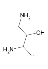 [CH2]C(N)C(O)CN